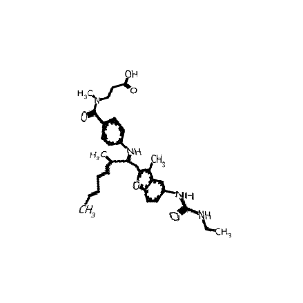 CCCCCC(C)C(Nc1ccc(C(=O)N(C)CCC(=O)O)cc1)c1oc2ccc(NC(=O)NCC)cc2c1C